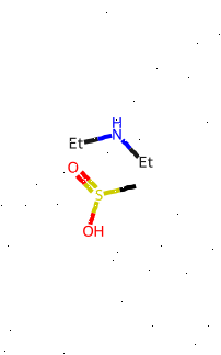 CCNCC.CS(=O)O